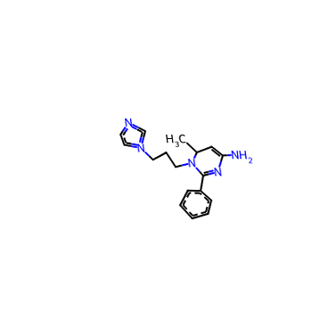 CC1C=C(N)N=C(c2ccccc2)N1CCCn1ccnc1